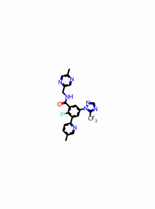 Cc1ccc(-c2cc(-n3ncnc3C(F)(F)F)cc(C(=O)NCc3cnc(C)cn3)c2F)nc1